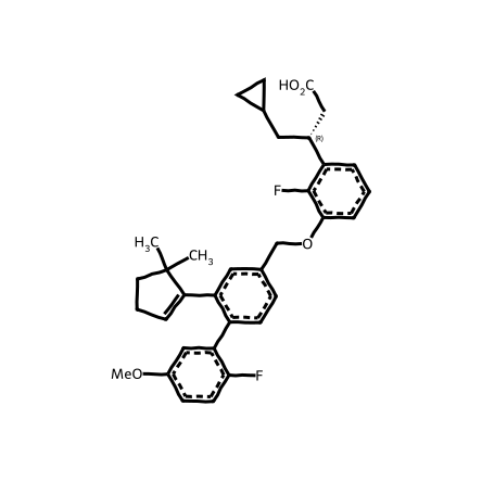 COc1ccc(F)c(-c2ccc(COc3cccc([C@@H](CC(=O)O)CC4CC4)c3F)cc2C2=CCCC2(C)C)c1